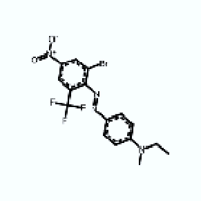 CCN(C)c1ccc(N=Nc2c(Br)cc([N+](=O)[O-])cc2C(F)(F)F)cc1